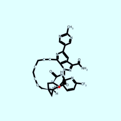 Cc1ncc(-c2cc3c(C(N)=O)nn4c3c(n2)CCCCCCOC[C@@]23C[C@@H](C(=O)Nc5nc(C(F)(F)F)ccc5C)N(C(=O)C4)[C@@H]2C3)cn1